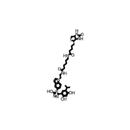 CC(C)c1cc(-c2nnc(O)n2-c2ccc3c(ccn3CCNC(=O)CCCCCNC(=O)CCCC[C@H]3SCC4NC(=O)NC43)c2)c(O)cc1O